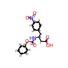 O=C(O)CC(Cc1ccc([N+](=O)[O-])cc1)NC(=O)Oc1ccccc1